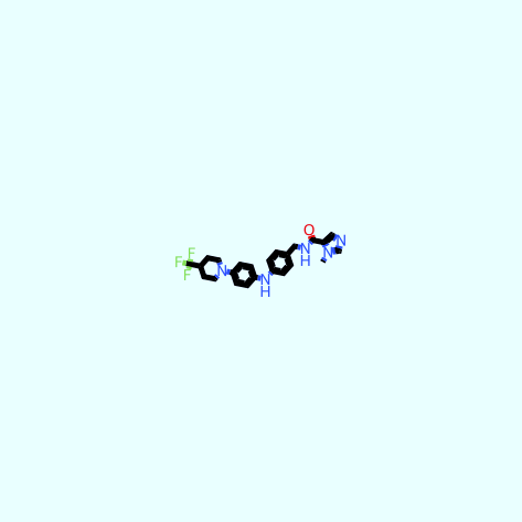 Cn1cncc1C(=O)NCc1ccc(Nc2ccc(N3CCC(C(F)(F)F)CC3)cc2)cc1